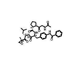 CC(=O)NCC(=O)N1CCC[C@H]1C(=O)N[C@@H](Cc1ccc(NC(=O)c2ccccc2)cc1)C(=O)N[C@@H](CC(C)C)C(=O)[C@@]1(C)CO1